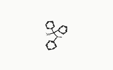 CC(c1ccccc1)[C]([Sn])(c1ccccc1)c1ccccc1